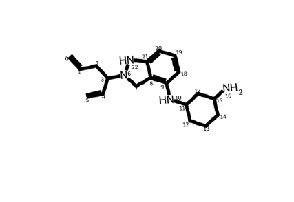 C=CCC(C=C)N1Cc2c(NC3CCCC(N)C3)cccc2N1